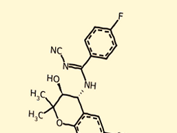 CC1(C)Oc2ccc(C#N)cc2[C@@H](NC(=NC#N)c2ccc(F)cc2)[C@@H]1O